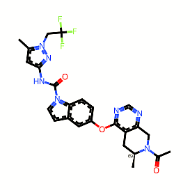 CC(=O)N1Cc2ncnc(Oc3ccc4c(ccn4C(=O)Nc4cc(C)n(CC(F)(F)F)n4)c3)c2C[C@@H]1C